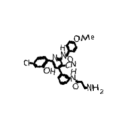 COc1ccc(C(=O)Nc2nc(-c3ccc(Cl)cc3O)cc(-c3cccc(NC(=O)CCN)c3)c2C#N)cc1